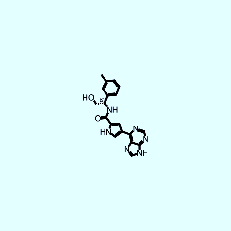 Cc1cccc([C@@H](CO)NC(=O)c2cc(-c3ncnc4[nH]cnc34)c[nH]2)c1